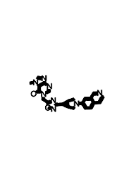 Cn1cnc2ncn(Cc3nc(C4C5CN(c6ccc7ccncc7c6)CC54)no3)c(=O)c21